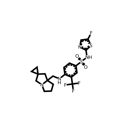 O=S(=O)(Nc1ncc(F)s1)c1ccc(NCC23CCCN2CC2(CC2)C3)c(C(F)(F)F)c1